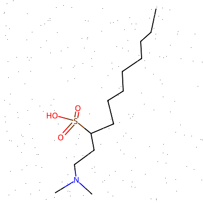 CCCCCCCCC(CCN(C)C)S(=O)(=O)O